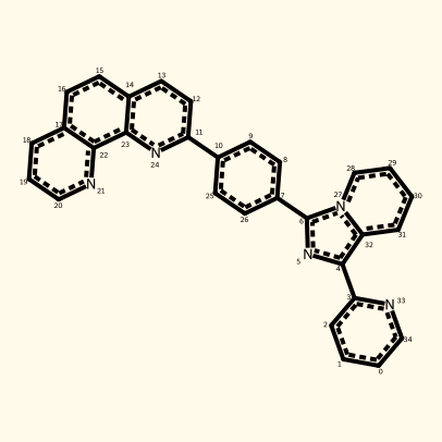 c1ccc(-c2nc(-c3ccc(-c4ccc5ccc6cccnc6c5n4)cc3)n3ccccc23)nc1